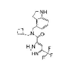 N=C(/C=C(\N)C(=O)N(Cc1cccc2c1CCN2)CC1CCC1)C(F)(F)F